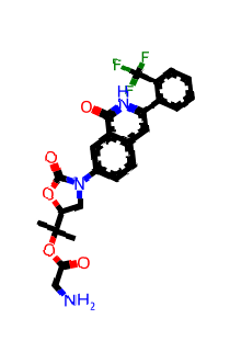 CC(C)(OC(=O)CN)C1CN(c2ccc3cc(-c4ccccc4C(F)(F)F)[nH]c(=O)c3c2)C(=O)O1